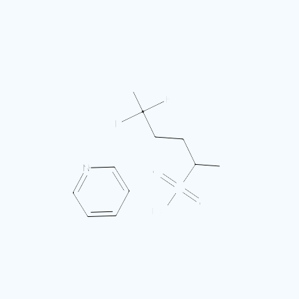 O=S(=O)(O)C(F)CCC(F)(F)F.c1ccncc1